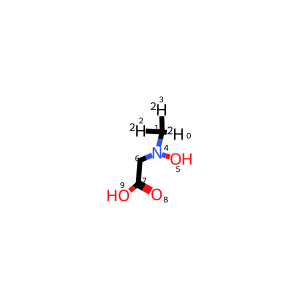 [2H]C([2H])([2H])N(O)CC(=O)O